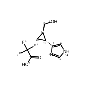 O=C(O)C(F)(F)F.OC[C@@H]1C[C@H]1c1c[nH]cn1